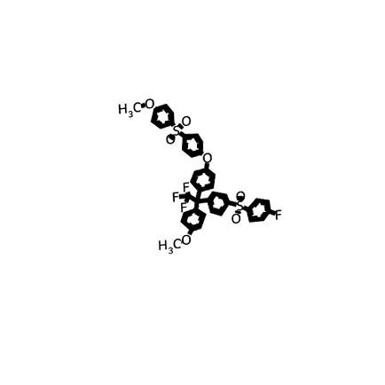 COc1ccc(C(c2ccc(Oc3ccc(S(=O)(=O)c4ccc(OC)cc4)cc3)cc2)(c2ccc(S(=O)(=O)c3ccc(F)cc3)cc2)C(F)(F)F)cc1